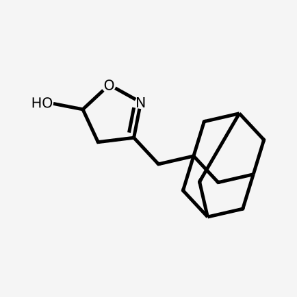 OC1CC(CC23CC4CC(CC(C4)C2)C3)=NO1